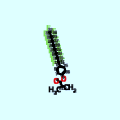 C=C(C)C(=O)Oc1ccc(C(F)(F)C(F)(F)C(F)(F)C(F)(F)C(F)(F)C(F)(F)C(F)(F)C(F)(F)F)cc1